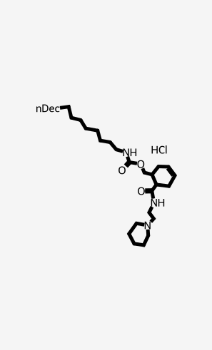 CCCCCCCCCCCCCCCCCCNC(=O)OCC1CC=CCC1C(=O)NCCN1CCCCC1.Cl